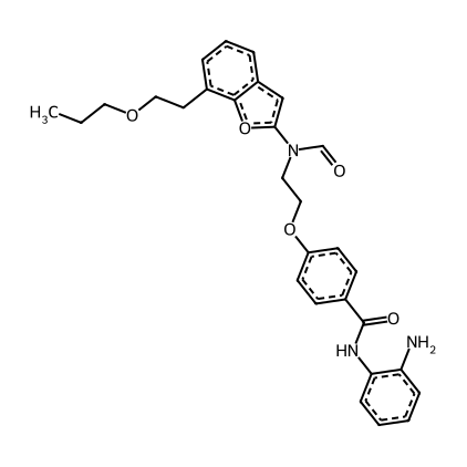 CCCOCCc1cccc2cc(N(C=O)CCOc3ccc(C(=O)Nc4ccccc4N)cc3)oc12